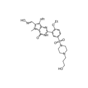 CCCc1c(C=NO)n(C)c2c(=O)[nH]c(-c3cc(S(=O)(=O)N4CCN(CCCO)CC4)ccc3OCC)nc12